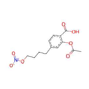 CC(=O)Oc1cc(CCCCO[N+](=O)[O-])ccc1C(=O)O